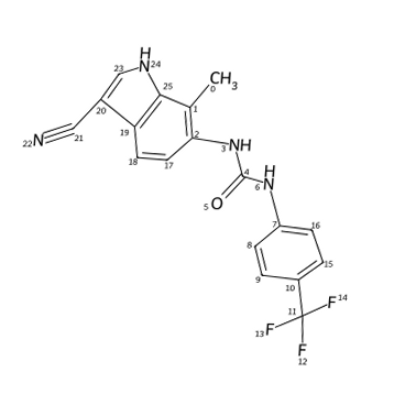 Cc1c(NC(=O)Nc2ccc(C(F)(F)F)cc2)ccc2c(C#N)c[nH]c12